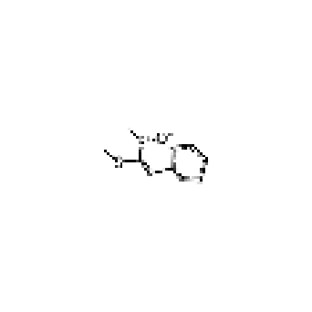 CSC(=Cc1ccccc1)[S+](C)[O-]